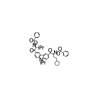 CC(C)/C(=N\OC(=O)c1ccccc1)C(=O)c1ccc2c(c1)c1cc(C(=O)/C(CCC3CCCC3)=N/OC(=O)c3ccccc3)ccc1n2C(C)C